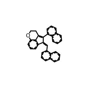 C(=C1C(c2cccc3ccccc23)=C2CCOc3cccc1c32)c1cccc2ccccc12